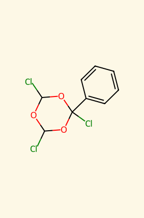 ClC1OC(Cl)OC(Cl)(c2ccccc2)O1